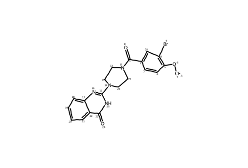 O=C(c1ccc(OC(F)(F)F)c(Br)c1)N1CCN(c2nc3ccccc3c(=O)[nH]2)CC1